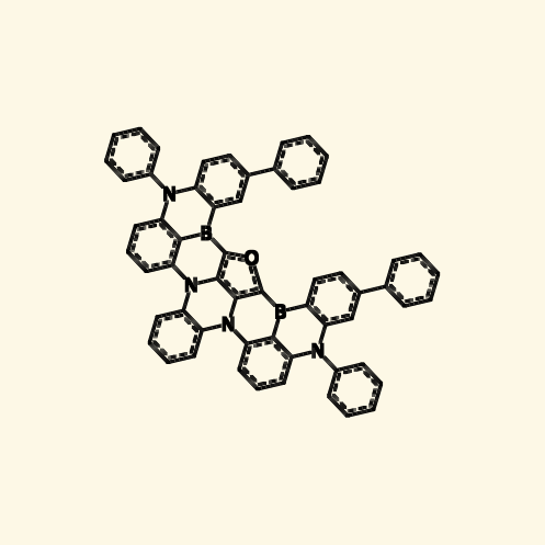 c1ccc(-c2ccc3c(c2)B2c4oc5c6c4N(c4ccccc4N6c4cccc6c4B5c4ccc(-c5ccccc5)cc4N6c4ccccc4)c4cccc(c42)N3c2ccccc2)cc1